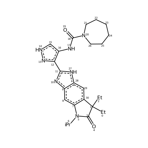 CCC1(CC)C(=O)N(C(C)C)c2cc3nc(-c4n[nH]cc4NC(=O)N4CCCCCC4)[nH]c3cc21